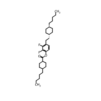 CCCCCC1CCC(C(=O)Oc2ccc(CC[C@H]3CC[C@H](CCCCC)CC3)c(F)c2F)CC1